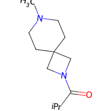 CC(C)C(=O)N1CC2(CCN(C)CC2)C1